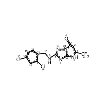 O=c1cc(C(F)(F)F)[nH]c2nc(NCc3ccc(Cl)cc3Cl)nn12